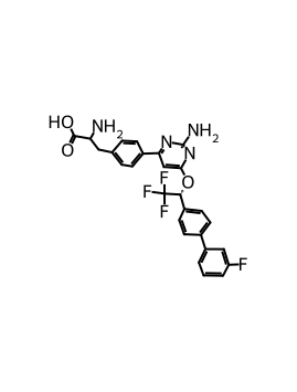 Nc1nc(O[C@H](c2ccc(-c3cccc(F)c3)cc2)C(F)(F)F)cc(-c2ccc(CC(N)C(=O)O)cc2)n1